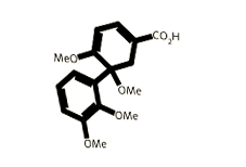 COC1=CC=C(C(=O)O)CC1(OC)c1cccc(OC)c1OC